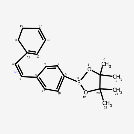 CC1(C)OB(c2ccc(/C=C\C3=CC=CCC3)cc2)OC1(C)C